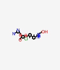 Cc1c(COc2cc(OCc3cncc(C#N)c3)c(C=O)cc2Cl)cccc1-c1cccc(-c2cn(CCCO)nn2)c1C